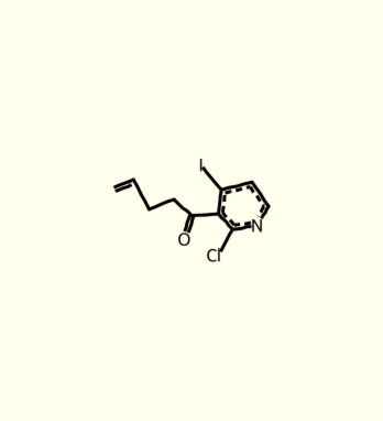 C=CCCC(=O)c1c(I)ccnc1Cl